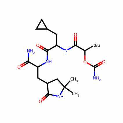 CC1(C)CC(CC(NC(=O)C(CC2CC2)NC(=O)C(OC(N)=O)C(C)(C)C)C(N)=O)C(=O)N1